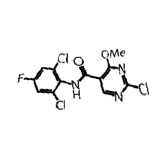 COc1nc(Cl)ncc1C(=O)Nc1c(Cl)cc(F)cc1Cl